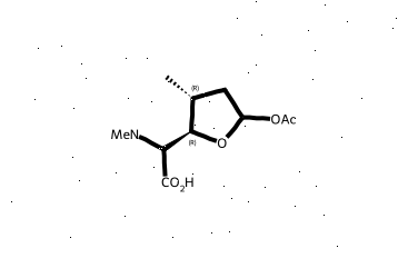 CNC(C(=O)O)[C@@H]1OC(OC(C)=O)C[C@H]1C